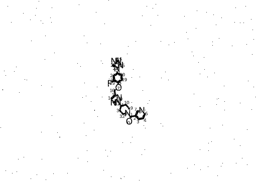 O=C(c1cccnc1)N1CCC(n2ncc(COc3ccc(-n4cnnn4)cc3F)n2)CC1